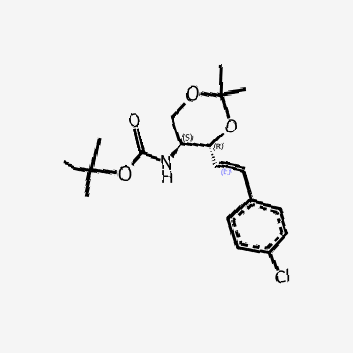 CC(C)(C)OC(=O)N[C@H]1COC(C)(C)O[C@@H]1/C=C/c1ccc(Cl)cc1